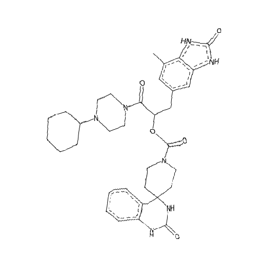 Cc1cc(CC(OC(=O)N2CCC3(CC2)NC(=O)Nc2ccccc23)C(=O)N2CCN(C3CCCCC3)CC2)cc2[nH]c(=O)[nH]c12